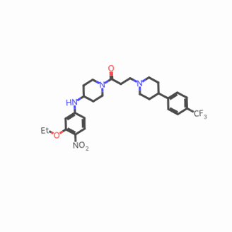 CCOc1cc(NC2CCN(C(=O)CCN3CCC(c4ccc(C(F)(F)F)cc4)CC3)CC2)ccc1[N+](=O)[O-]